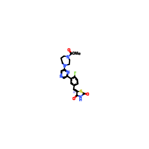 COC(=O)N1CCCN(c2cncc(-c3cc(/C=C4\SC(=O)NC4=O)ccc3F)n2)CC1